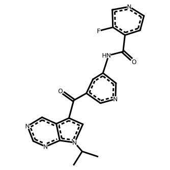 CC(C)n1cc(C(=O)c2cncc(NC(=O)c3ccncc3F)c2)c2cncnc21